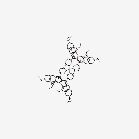 CCn1c2cc(SC)ccc2c2ccc(N(c3ccccc3)c3ccc4c(c3)C3(c5cc(N(c6ccccc6)c6ccc7c8ccc(SC)cc8n(CC)c7c6)ccc5-4)c4cc(N(c5ccccc5)c5ccc6c7ccc(SC)cc7n(CC)c6c5)ccc4-c4ccc(N(c5ccccc5)c5ccc6c7ccc(SC)cc7n(CC)c6c5)cc43)cc21